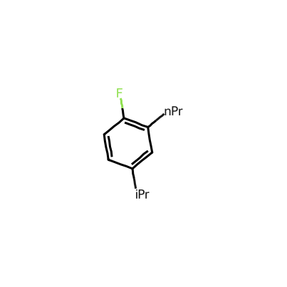 CCCc1cc(C(C)C)ccc1F